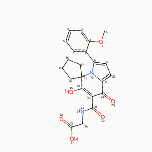 COc1ccccc1-c1ccc2n1C1(CCCC1)C(O)=C(C(=O)NCC(=O)O)C2=O